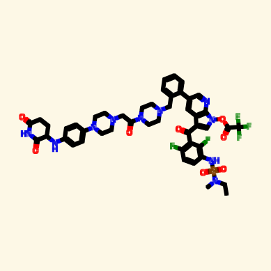 CCN(C)S(=O)(=O)Nc1ccc(F)c(C(=O)c2cn(OC(=O)C(F)(F)F)c3ncc(-c4ccccc4CN4CCN(C(=O)CN5CCN(c6ccc(NC7CCC(=O)NC7=O)cc6)CC5)CC4)cc23)c1F